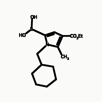 CCOC(=O)c1cc(B(O)O)n(CC2CCCCC2)c1C